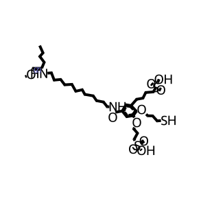 CCCC/C(=C/OC)NCCCCCCCCCCCCNC(=O)c1cc(CCCCS(=O)(=O)O)c(OCCCS)c(OCCCS(=O)(=O)O)c1